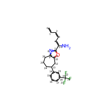 C=C/C=C\C=C(/N)c1nc2c(o1)CC(c1cccc(C(F)(F)F)c1)CCC2